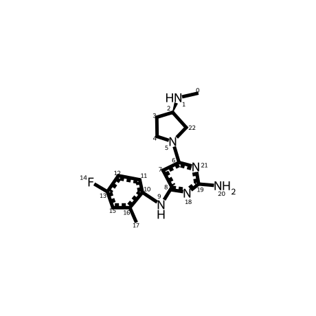 CN[C@@H]1CCN(c2cc(Nc3ccc(F)cc3C)nc(N)n2)C1